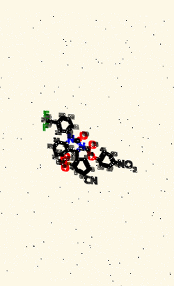 CS(=O)(=O)c1cc(C#N)ccc1C1C2=C(CCCC2=O)N(c2cccc(C(F)F)c2)C(=O)N1C(=O)Oc1ccc([N+](=O)[O-])cc1